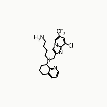 NCCCCN(Cc1cn2cc(C(F)(F)F)cc(Cl)c2n1)C1CCCc2cccnc21